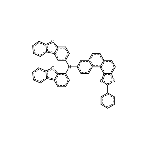 c1ccc(-c2nc3ccc4ccc5cc(N(c6ccc7oc8ccccc8c7c6)c6cccc7c6oc6ccccc67)ccc5c4c3o2)cc1